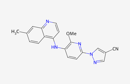 COc1nc(-n2cc(C#N)cn2)ccc1Nc1ccnc2cc(C)ccc12